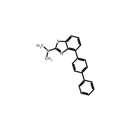 CN(C)c1nc2c(-c3ccc(-c4ccccc4)cc3)cccc2s1